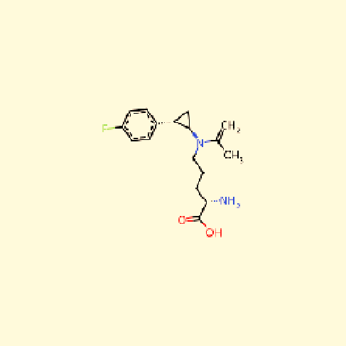 C=C(C)N(CCC[C@H](N)C(=O)O)[C@@H]1C[C@H]1c1ccc(F)cc1